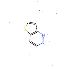 [c]1cc2sccc2nn1